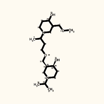 COCC1CN(C(C)CCOC[C@@H]2CN(C(C)C)CC[C@@H]2O)CCC1O